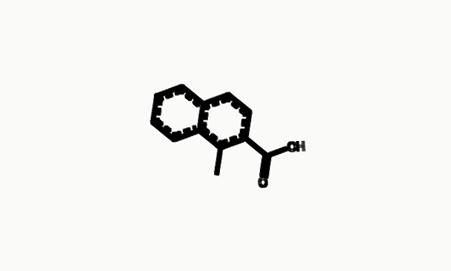 Cc1c(C(=O)O)ccc2ccccc12